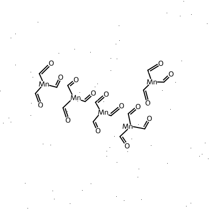 O=[CH][Mn]([CH]=O)[CH]=O.O=[CH][Mn]([CH]=O)[CH]=O.O=[CH][Mn]([CH]=O)[CH]=O.O=[CH][Mn]([CH]=O)[CH]=O.O=[CH][Mn]([CH]=O)[CH]=O